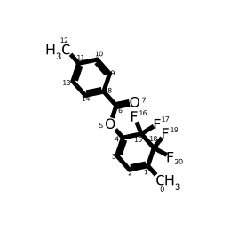 CC1=CC=C(OC(=O)c2ccc(C)cc2)C(F)(F)C1(F)F